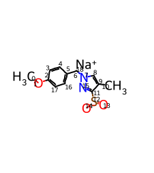 COc1ccc(Cn2cc(C)c(S(=O)[O-])n2)cc1.[Na+]